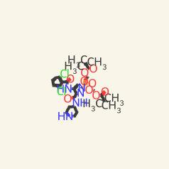 CC(C)(C)C(=O)OCOP(=O)(OCOC(=O)C(C)(C)C)n1cc(NC(=O)c2c(Cl)cccc2Cl)c(C(=O)NC2CCNCC2)n1